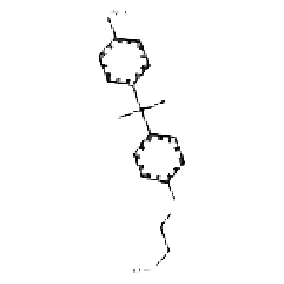 COc1ccc(C(C)(C)c2ccc(OCCSC)cc2)cc1